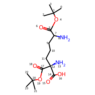 CC(C)(C)OC(=O)C(N)CCC[C@](N)(C(=O)O)C(=O)OC(C)(C)C